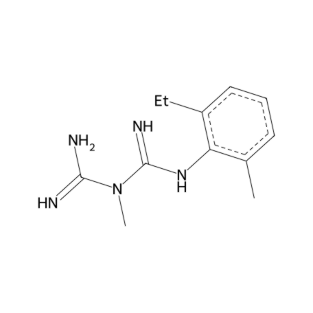 CCc1cccc(C)c1NC(=N)N(C)C(=N)N